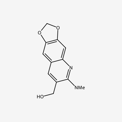 CNc1nc2cc3c(cc2cc1CO)OCO3